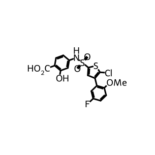 COc1ccc(F)cc1-c1cc(S(=O)(=O)Nc2ccc(C(=O)O)c(O)c2)sc1Cl